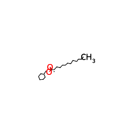 CCCCCCCCCCC[CH]C(=O)OCC1CCCCC1